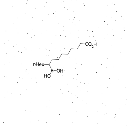 CCCCCCC(CCCCCCCC(=O)O)B(O)O